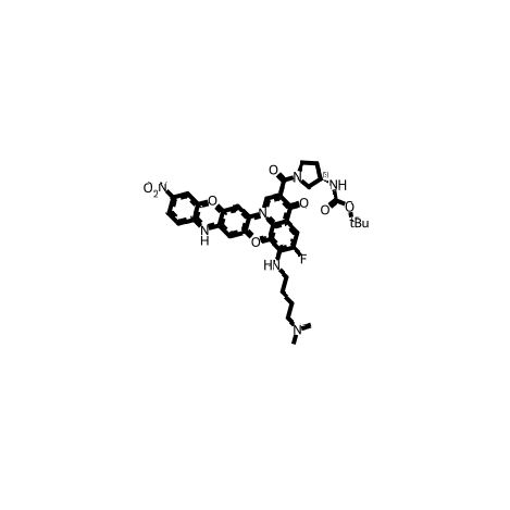 CN(C)CCCCNc1c(F)cc2c(=O)c(C(=O)N3CC[C@H](NC(=O)OC(C)(C)C)C3)cn3c4cc5oc6cc([N+](=O)[O-])ccc6[nH]c5cc4oc1c23